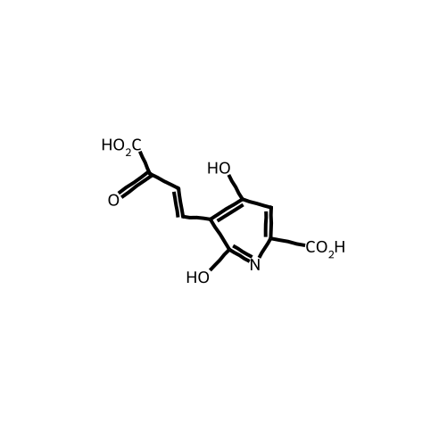 O=C(O)C(=O)C=Cc1c(O)cc(C(=O)O)nc1O